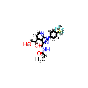 C=CC(=O)NCc1nn(-c2ccc(S(F)(F)(F)(F)F)cc2)c2nccc([C@H](O)CO)c12